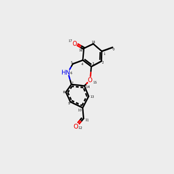 CC1=CC2=C(CNc3ccc(C=O)cc3O2)C(=O)C1